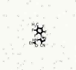 CCC(=O)Nc1c(C#N)cnn1-c1c(F)c(F)c(C)c(F)c1F